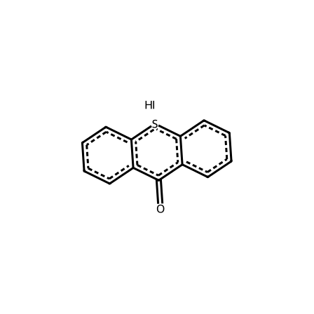 I.O=c1c2ccccc2sc2ccccc12